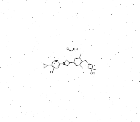 Cc1cc(C2CN(c3ccc(C4CC4)c(Cl)c3)C2)cc(C)c1CN1CC(C)(O)C1.O=CO